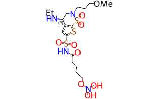 CCN[C@H]1CN(CCCOC)S(=O)(=O)c2sc(S(=O)(=O)NC(=O)CCCCON(O)O)cc21